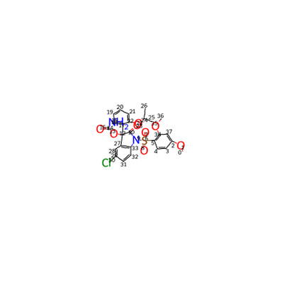 COc1ccc(S(=O)(=O)N2C(=O)C(OC(N)=O)(c3ccccc3OC(C)C)c3cc(Cl)ccc32)c(OC)c1